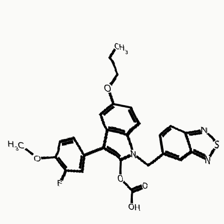 CCCOc1ccc2c(c1)c(-c1ccc(OC)c(F)c1)c(OC(=O)O)n2Cc1ccc2nsnc2c1